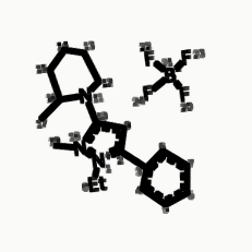 CC[n+]1c(-c2ccccc2)cc(N2CCCCC2C)n1C.F[B-](F)(F)F